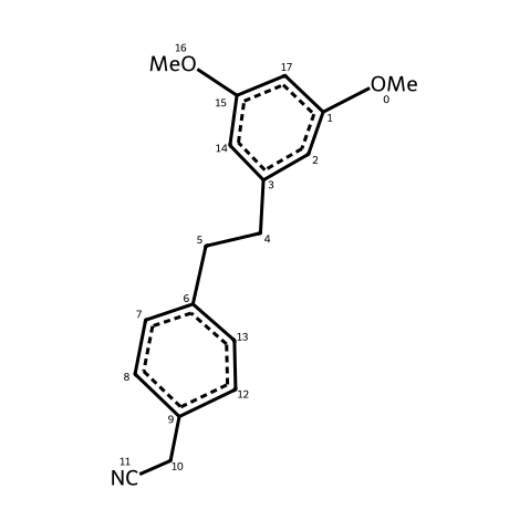 COc1cc(CCc2ccc(CC#N)cc2)cc(OC)c1